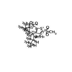 [2H]c1c(S(C)(=O)=O)sc2c1[C@@]([2H])(N([2H])C([2H])([2H])C([2H])([2H])[2H])C([2H])([2H])[C@]([2H])(C([2H])([2H])[2H])S2(=O)=O